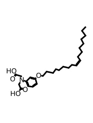 CCCCCCCC/C=C\CCCCCCCCOc1cccc(N(CC(=O)O)CC(=O)O)c1